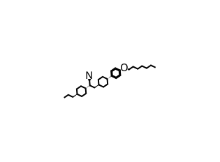 CCCCCCCOc1ccc([C@H]2CC[C@H](CC(C#N)[C@H]3CC[C@H](CCC)CC3)CC2)cc1